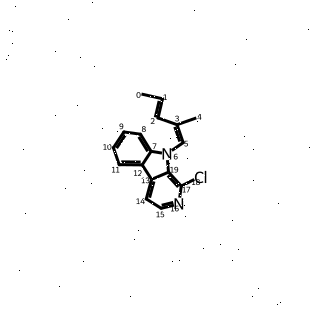 CC=CC(C)=Cn1c2ccccc2c2ccnc(Cl)c21